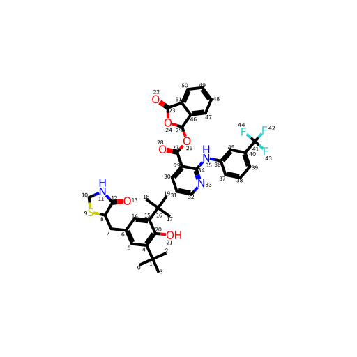 CC(C)(C)c1cc(CC2SCNC2=O)cc(C(C)(C)C)c1O.O=C1OC(OC(=O)c2cccnc2Nc2cccc(C(F)(F)F)c2)c2ccccc21